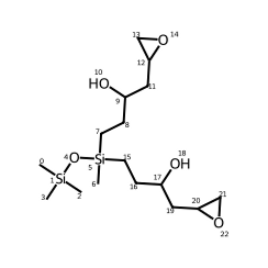 C[Si](C)(C)O[Si](C)(CCC(O)CC1CO1)CCC(O)CC1CO1